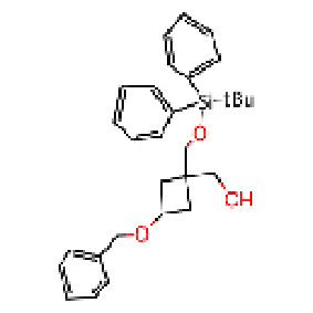 CC(C)(C)[Si](OCC1(CO)CC(OCc2ccccc2)C1)(c1ccccc1)c1ccccc1